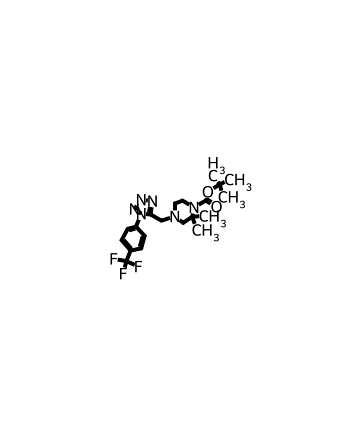 CC(C)(C)OC(=O)N1CCN(Cc2nnnn2-c2ccc(C(F)(F)F)cc2)CC1(C)C